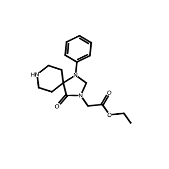 CCOC(=O)CN1CN(c2ccccc2)C2(CCNCC2)C1=O